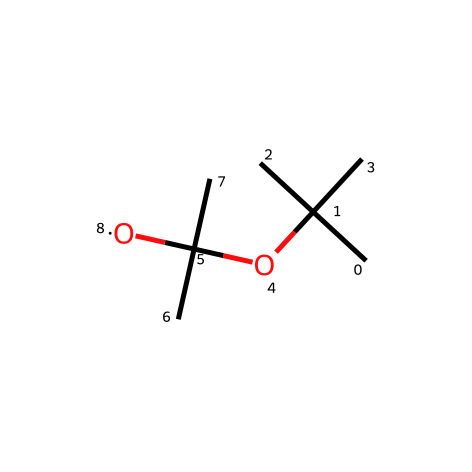 CC(C)(C)OC(C)(C)[O]